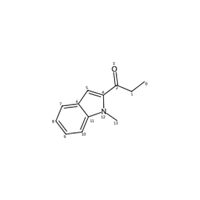 CCC(=O)c1cc2ccccc2n1C